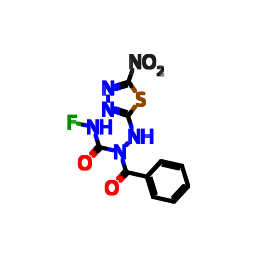 O=C(NF)N(Nc1nnc([N+](=O)[O-])s1)C(=O)c1ccccc1